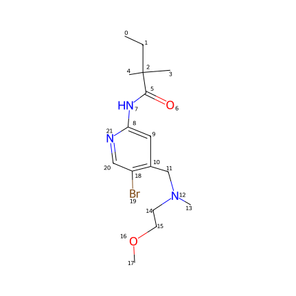 CCC(C)(C)C(=O)Nc1cc(CN(C)CCOC)c(Br)cn1